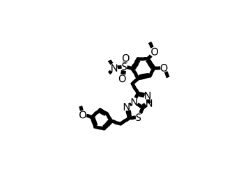 COc1ccc(Cc2nn3c(Cc4cc(OC)c(OC)cc4S(=O)(=O)N(C)C)nnc3s2)cc1